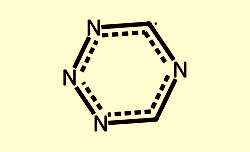 [c]1ncnnn1